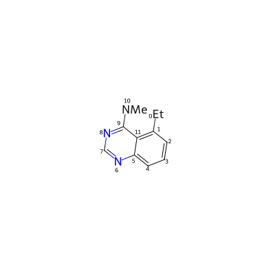 CCc1cccc2ncnc(NC)c12